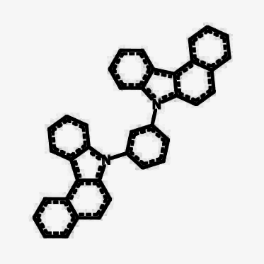 c1cc(-n2c3ccccc3c3c4ccccc4ccc32)cc(-n2c3ccccc3c3c4ccccc4ccc32)c1